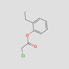 [CH2]Cc1ccccc1OC(=O)CCl